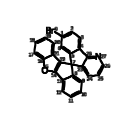 Brc1ccc2c(c1)C1(c3ccccc3-c3oc4ccccc4c31)c1cccnc1-2